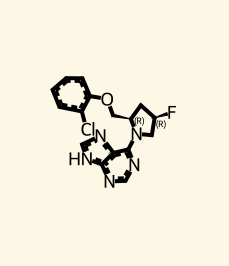 F[C@@H]1C[C@H](COc2ccccc2Cl)N(c2ncnc3[nH]cnc23)C1